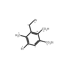 CCOC(=O)c1cc(CC)c(C)c(CC(C)C)c1C(=O)O